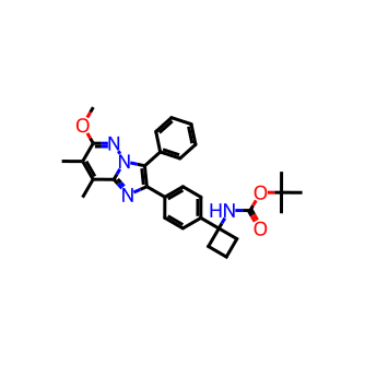 COc1nn2c(-c3ccccc3)c(-c3ccc(C4(NC(=O)OC(C)(C)C)CCC4)cc3)nc2c(C)c1C